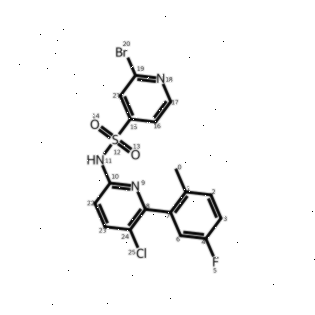 Cc1ccc(F)cc1-c1nc(NS(=O)(=O)c2ccnc(Br)c2)ccc1Cl